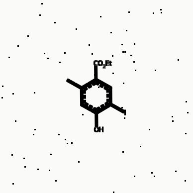 CCOC(=O)c1cc(I)c(O)cc1C